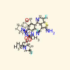 CCO[C@H](C)CN1CC2CCC(C1)N2c1nc(OC[C@@H]2C[C@@H](F)CN2C)nc2c(F)c(-c3ncc(F)c4sc(N)c(C#N)c34)c3c(c12)COC3